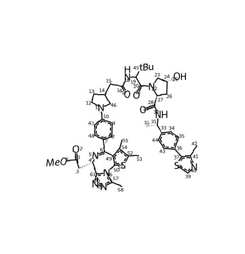 COC(=O)C[C@@H]1N=C(c2ccc(N3CCC(CC(=O)NC(C(=O)N4C[C@H](O)C[C@H]4C(=O)N[C@@H](C)c4ccc(-c5scnc5C)cc4)C(C)(C)C)C3)cc2)c2c(sc(C)c2C)-n2c(C)nnc21